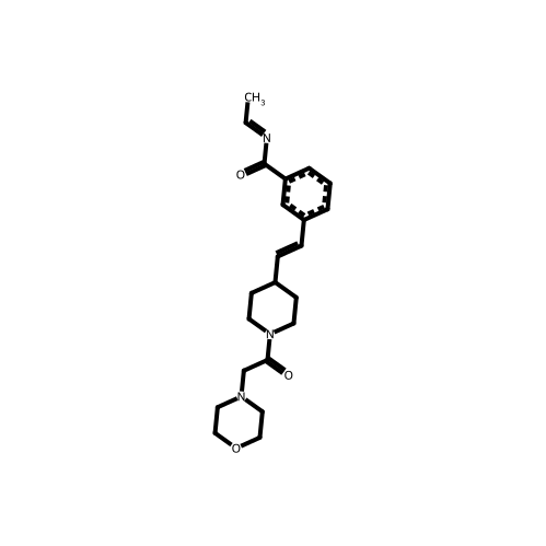 C/C=N/C(=O)c1cccc(/C=C/C2CCN(C(=O)CN3CCOCC3)CC2)c1